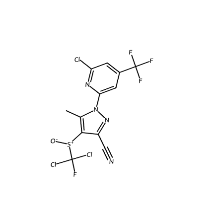 Cc1c([S+]([O-])C(F)(Cl)Cl)c(C#N)nn1-c1cc(C(F)(F)F)cc(Cl)n1